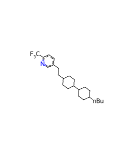 CCCCC1CCC(C2CCC(CCc3ccc(C(F)(F)F)nc3)CC2)CC1